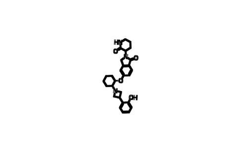 O=C1NCCCC1N1Cc2cc(O[C@H]3CCCC[C@@H]3N3CC(c4ccccc4O)C3)ccc2C1=O